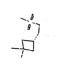 CO[C@H](C1CC(C)(C)C1)[C@@H](C)S(C)(=O)=O